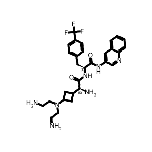 NCCN(CCN)C1CC([C@H](N)C(=O)N[C@@H](Cc2ccc(C(F)(F)F)cc2)C(=O)Nc2cnc3ccccc3c2)C1